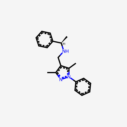 Cc1nn(-c2ccccc2)c(C)c1CN[C@H](C)c1ccccc1